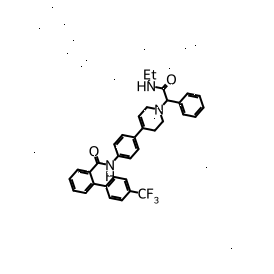 CCNC(=O)C(c1ccccc1)N1CC=C(c2ccc(NC(=O)c3ccccc3-c3ccc(C(F)(F)F)cc3)cc2)CC1